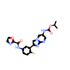 CC(C)OC(=O)Nc1cnc2nc(-c3cc(NC(=O)c4ncco4)ccc3F)cn2c1